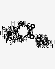 C[C@@H](c1ccccc1)[C@@H]1N=C([O-])CN=C(O)[C@H](CO)NC(=O)[C@@H]([C@H](O)[C@@H]2CNC(N)=[N+]2[C@H]2O[C@H](CO)[C@@H](O)[C@H](O)[C@@H]2O)NC(=O)[C@H]([C@H](O)[C@@H]2CN=C(N)N2)NC(=O)[C@@H](Cc2ccc(O[C@H]3O[C@H](CO)[C@@H](O[C@H]4O[C@H](CO)[C@@H](O)[C@H](O)[C@@H]4O)[C@H](O)[C@@H]3O)cc2)NC1=O